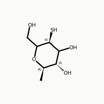 C[C@H]1OC(CO)[C@@H](S)C(O)[C@@H]1O